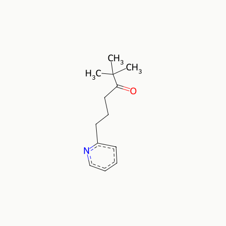 CC(C)(C)C(=O)CCCc1ccccn1